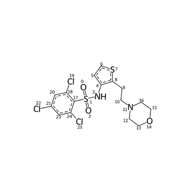 O=S(=O)(Nc1ccsc1CCN1CCOCC1)c1c(Cl)cc(Cl)cc1Cl